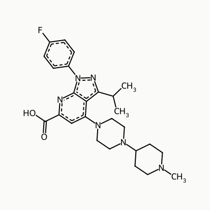 CC(C)c1nn(-c2ccc(F)cc2)c2nc(C(=O)O)cc(N3CCN(C4CCN(C)CC4)CC3)c12